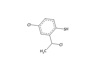 CC(Cl)c1cc(Cl)ccc1S